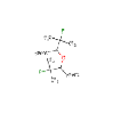 CCCCCC(OC(CCCCC)C(F)(C(F)(F)F)C(F)(F)F)C(F)(C(F)(F)F)C(F)(F)F